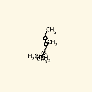 C=CCCc1ccc(-c2ccc(CCCOC(=O)C(=C)CN(C)C)cc2C)cc1